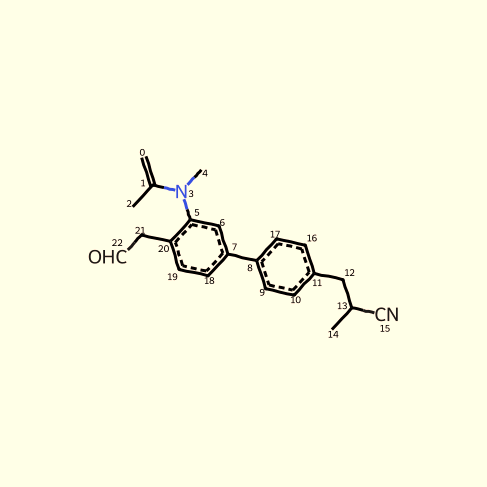 C=C(C)N(C)c1cc(-c2ccc(CC(C)C#N)cc2)ccc1CC=O